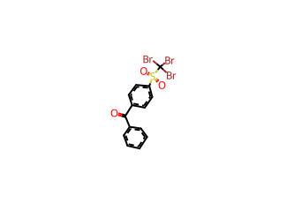 O=C(c1ccccc1)c1ccc(S(=O)(=O)C(Br)(Br)Br)cc1